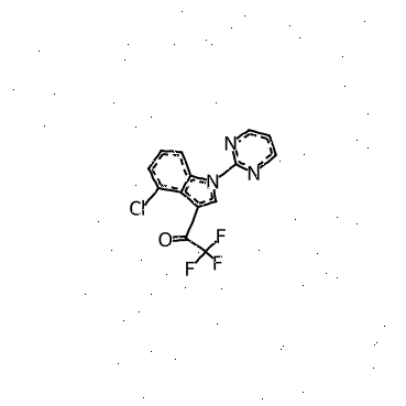 O=C(c1cn(-c2ncccn2)c2cccc(Cl)c12)C(F)(F)F